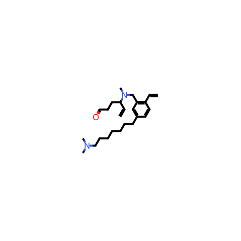 C=Cc1ccc(CCCCCCCN(C)C)cc1CN(C)C(C=C)CCC=O